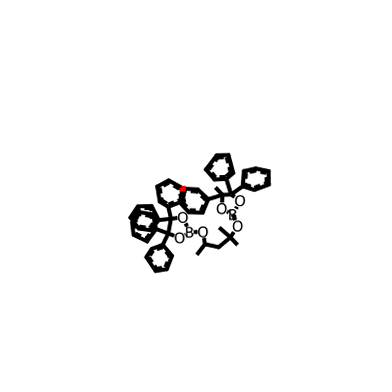 CC(CC(C)(C)OB1OC(C)(c2ccccc2)C(c2ccccc2)(c2ccccc2)O1)OB1OC(c2ccccc2)(c2ccccc2)C(c2ccccc2)(c2ccccc2)O1